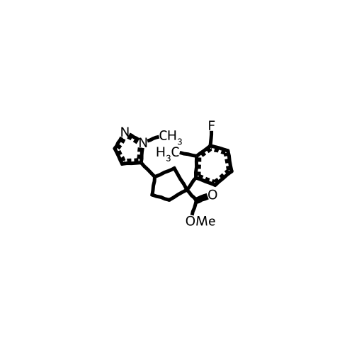 COC(=O)C1(c2cccc(F)c2C)CCC(c2ccnn2C)C1